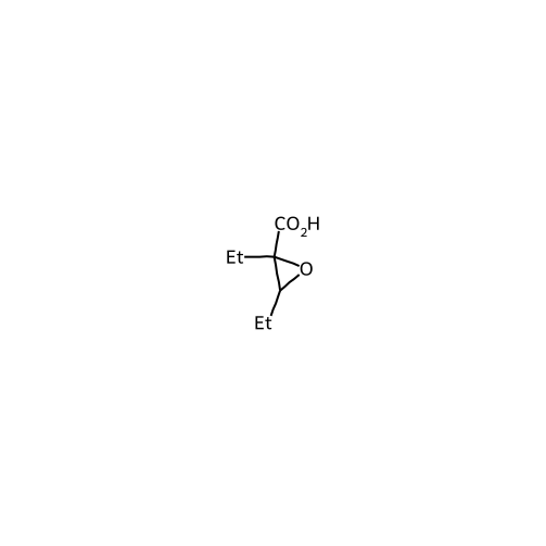 CCC1OC1(CC)C(=O)O